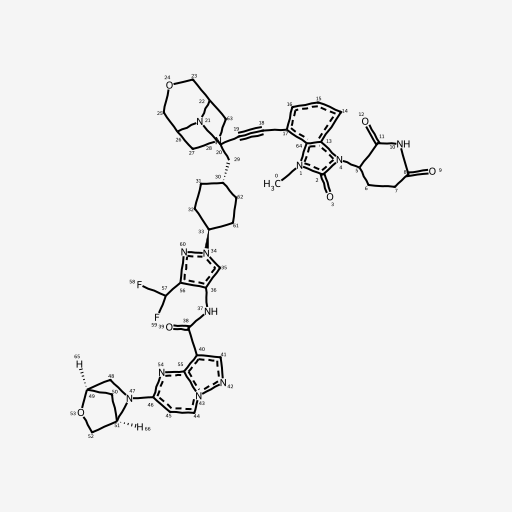 Cn1c(=O)n(C2CCC(=O)NC2=O)c2cccc(C#CCN3C4COCC3CN(C[C@H]3CC[C@H](n5cc(NC(=O)c6cnn7ccc(N8C[C@H]9C[C@@H]8CO9)nc67)c(C(F)F)n5)CC3)C4)c21